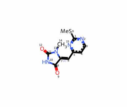 CSc1nccc(/C=C2/C(=O)NC(=O)N2C)n1